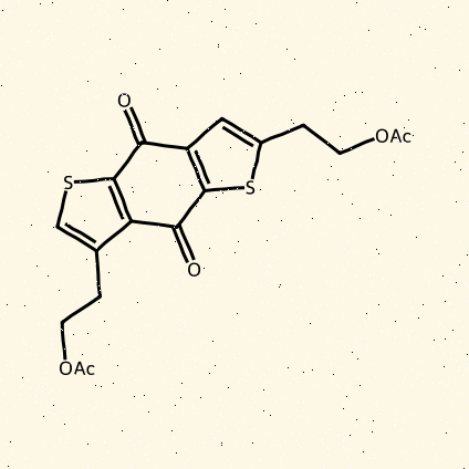 CC(=O)OCCc1cc2c(s1)C(=O)c1c(CCOC(C)=O)csc1C2=O